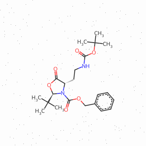 CC(C)(C)OC(=O)NCC[C@H]1C(=O)O[C@H](C(C)(C)C)N1C(=O)OCc1ccccc1